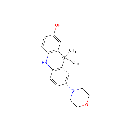 C[Si]1(C)c2cc(O)ccc2Nc2ccc(N3CCOCC3)cc21